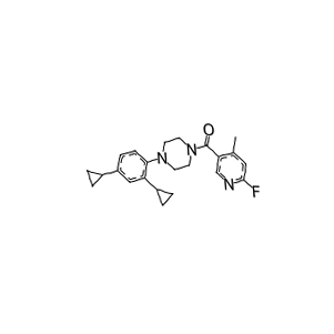 Cc1cc(F)ncc1C(=O)N1CCN(c2ccc(C3CC3)cc2C2CC2)CC1